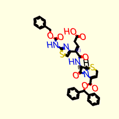 O=C(O)C/C=C(/C(=O)N[C@@H]1C(=O)N2C(C(=O)OC(c3ccccc3)c3ccccc3)=CCS[C@H]12)c1csc(NC(=O)OCc2ccccc2)n1